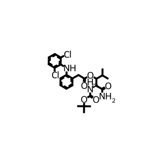 CC(C)C(OC(=O)Cc1ccccc1Nc1c(Cl)cccc1Cl)[C@H](NC(=O)OC(C)(C)C)C(N)=O